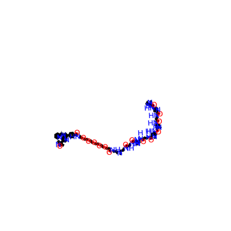 Cc1noc(C)c1-c1cnc2c(-c3ccc(C(=O)NCCOCCOCCOCCOCCOCCC(=O)NCCCN(C)CCCNC(=O)CCNC(=O)c4nc(NC(=O)CCNC(=O)c5cc(NC(=O)c6nc(NC(=O)CCNC(=O)c7cc(NC(=O)c8nccn8C)cn7C)cn6C)cn5C)cn4C)cc3)cn([C@@H](C)c3ccccn3)c2c1